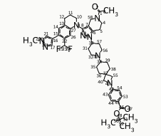 CC(=O)N1CCc2c(c(N3CCCc4cc(-c5cnn(C)c5)c(C(F)F)cc43)nn2C2CCN(C3CCC4(CC3)CN(c3ccc(C(=O)OC(C)(C)C)cc3)C4)CC2)C1